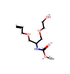 C=CCOCC(COCCO)NC(=O)OC(C)(C)C